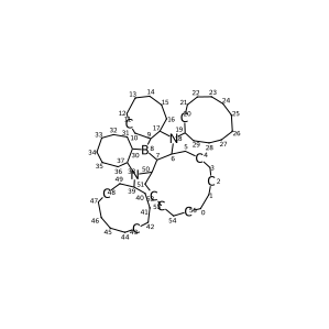 C1CCCCCC2C3B(C4CCCCCCCC4N2C2CCCCCCCCCC2)C2CCCCCCC2N(C2CCCCCCCCCC2)C3CCCCC1